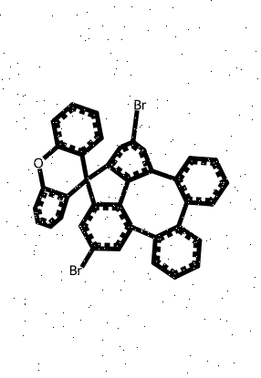 Brc1cc2c3c(c1)C1(c4ccccc4Oc4ccccc41)c1cc(Br)cc(c1-3)-c1ccccc1-c1ccccc1-2